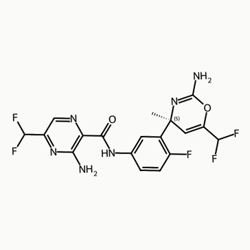 C[C@@]1(c2cc(NC(=O)c3ncc(C(F)F)nc3N)ccc2F)C=C(C(F)F)OC(N)=N1